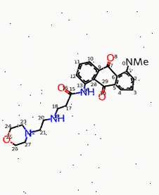 CNc1cccc2c1C(=O)c1cccc(NC(=O)CCNCCN3CCOCC3)c1C2=O